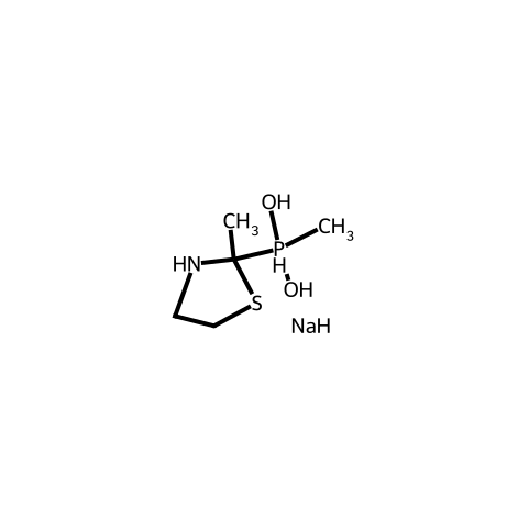 CC1([PH](C)(O)O)NCCS1.[NaH]